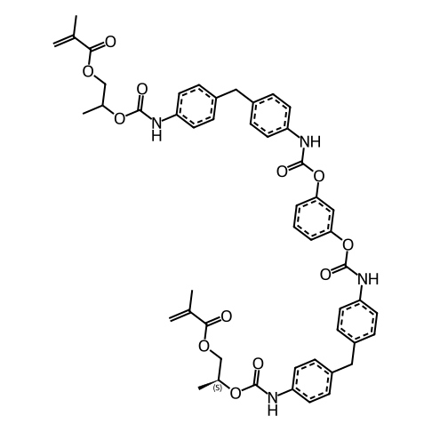 C=C(C)C(=O)OCC(C)OC(=O)Nc1ccc(Cc2ccc(NC(=O)Oc3cccc(OC(=O)Nc4ccc(Cc5ccc(NC(=O)O[C@@H](C)COC(=O)C(=C)C)cc5)cc4)c3)cc2)cc1